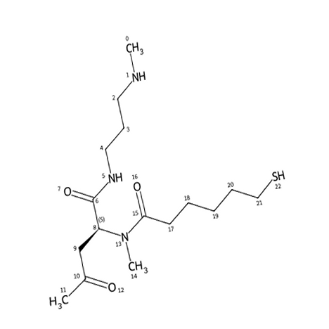 CNCCCNC(=O)[C@H](CC(C)=O)N(C)C(=O)CCCCCS